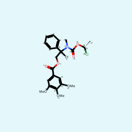 CCC(COC(=O)c1cc(OC)c(OC)c(OC)c1)(c1ccccc1)N(C)C(=O)O[C@H](C)Cl